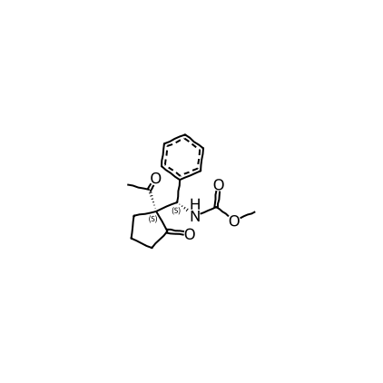 COC(=O)N[C@@H](c1ccccc1)[C@]1(C(C)=O)CCCC1=O